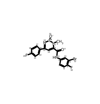 CN1C(C(=O)Nc2ccc(F)c(Br)c2)=CC(c2ccc(F)cc2)=N[S+]1[O-]